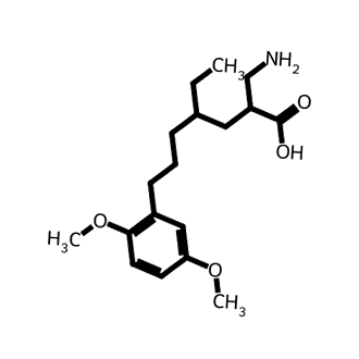 CCC(CCCc1cc(OC)ccc1OC)CC(CN)C(=O)O